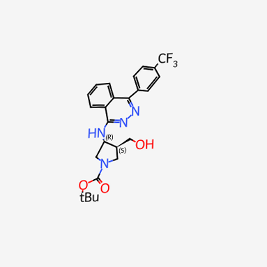 CC(C)(C)OC(=O)N1C[C@H](CO)[C@@H](Nc2nnc(-c3ccc(C(F)(F)F)cc3)c3ccccc23)C1